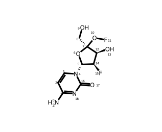 Nc1ccn([C@@H]2O[C@@](CO)(OF)[C@@H](O)[C@H]2F)c(=O)n1